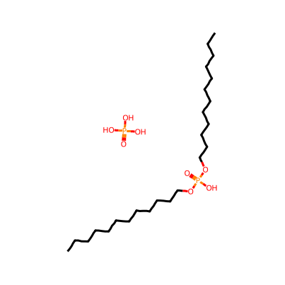 CCCCCCCCCCCCOP(=O)(O)OCCCCCCCCCCCC.O=P(O)(O)O